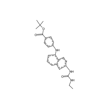 CCNC(=O)Nc1cc2cccc(Nc3ccc(C(=O)OC(C)(C)C)cc3)c2cn1